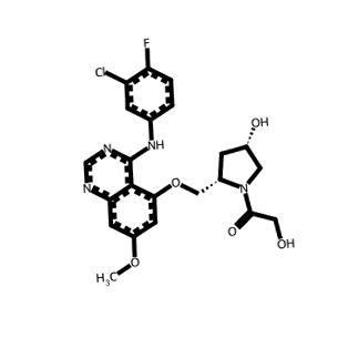 COc1cc(OC[C@@H]2C[C@H](O)CN2C(=O)CO)c2c(Nc3ccc(F)c(Cl)c3)ncnc2c1